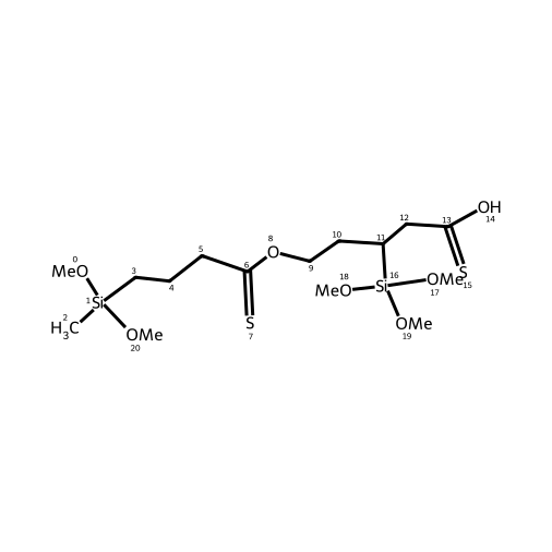 CO[Si](C)(CCCC(=S)OCCC(CC(O)=S)[Si](OC)(OC)OC)OC